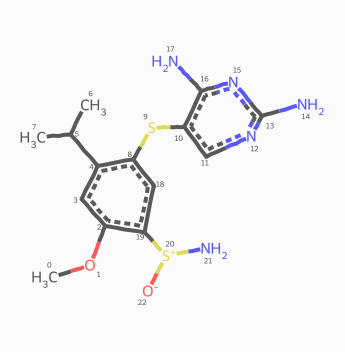 COc1cc(C(C)C)c(Sc2cnc(N)nc2N)cc1[S+](N)[O-]